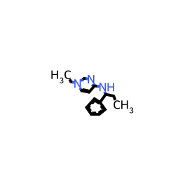 CCC(NC1=NCN(CC)C=C1)c1ccccc1